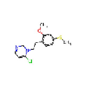 COc1cc(SC)ccc1CCN1CN=CC=C1Cl